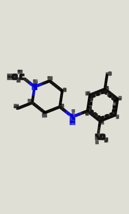 Cc1ccc([N+](=O)[O-])c(NC2CCN(C(=O)O)C(C)C2)c1